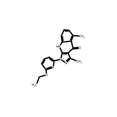 CCOc1cccc(-n2nc(C)c3c(=O)c4c(C)cccc4[nH]c32)n1